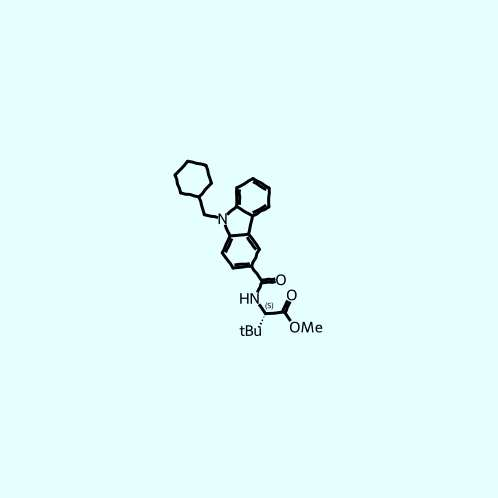 COC(=O)[C@@H](NC(=O)c1ccc2c(c1)c1ccccc1n2CC1CCCCC1)C(C)(C)C